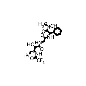 CC(C)C[C@H](NC(=O)C(F)(F)F)C(O)C(=O)NCC(=O)N[C@H](C(=O)N(C)C)c1ccccc1